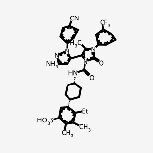 CCc1c(C)c(C)c(S(=O)(=O)O)cc1[C@H]1CC[C@@H](NC(=O)n2c(-c3ccnn3-c3ccc(C#N)cc3)c(C)n(-c3cccc(C(F)(F)F)c3)c2=O)CC1.N